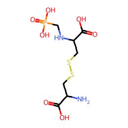 NC(CSSCC(NCP(=O)(O)O)C(=O)O)C(=O)O